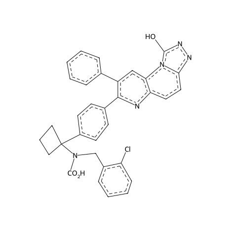 O=C(O)N(Cc1ccccc1Cl)C1(c2ccc(-c3nc4ccc5nnc(O)n5c4cc3-c3ccccc3)cc2)CCC1